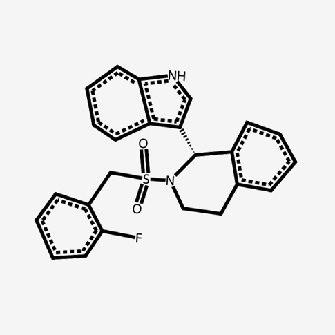 O=S(=O)(Cc1ccccc1F)N1CCc2ccccc2[C@H]1c1c[nH]c2ccccc12